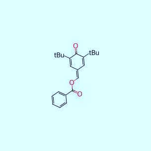 CC(C)(C)C1=CC(=COC(=O)c2ccccc2)C=C(C(C)(C)C)C1=O